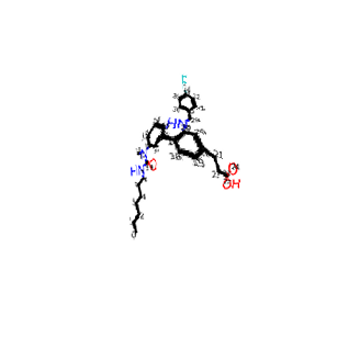 CCCCCCCNC(=O)N(C)c1cccc(-c2ccc(CCC(=O)O)cc2NCc2ccc(F)cc2)c1